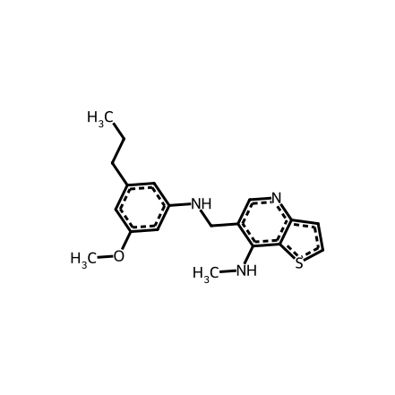 CCCc1cc(NCc2cnc3ccsc3c2NC)cc(OC)c1